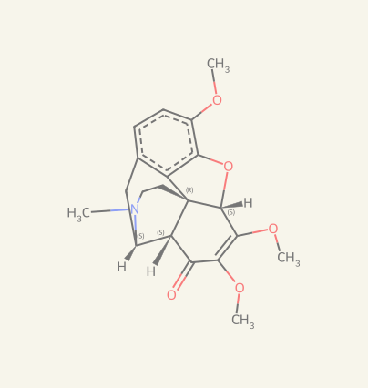 COC1=C(OC)[C@H]2Oc3c(OC)ccc4c3[C@]23CCN(C)[C@@H](C4)[C@H]3C1=O